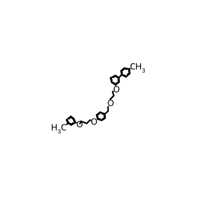 Cc1ccc(-c2cccc(OCCCOCCc3ccc(OCCCOc4cccc(C)c4)cc3)c2)cc1